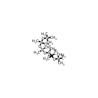 C[SiH](O[Si](C)(C)O[Si](C)(C)O[Si](C)(C)C)C(C)(C)O[Si](C)(C)C